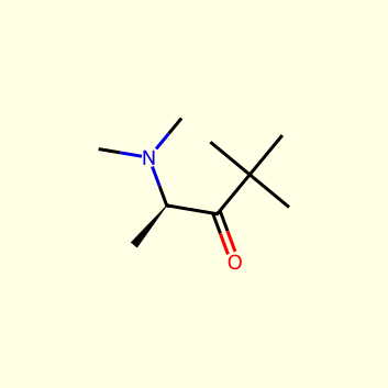 C[C@H](C(=O)C(C)(C)C)N(C)C